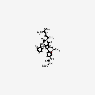 CONC(=O)Nc1ccc(-c2sc3c(c2CN(C)C)c(=O)n(/C(N)=C/C=C(\N)OC)c(=O)n3Cc2c(F)cccc2F)cc1